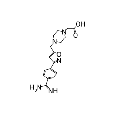 N=C(N)c1ccc(-c2cc(CN3CCN(CC(=O)O)CC3)on2)cc1